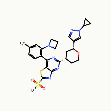 CS(=O)(=O)c1nc2nc([C@H]3CCO[C@@H](c4cnn(C5CC5)c4)C3)nc(-c3ccc(C(F)(F)F)cc3N3CCC3)c2s1